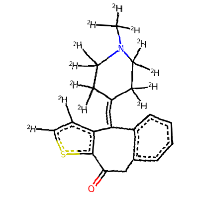 [2H]c1sc2c(c1[2H])C(=C1C([2H])([2H])C([2H])([2H])N(C([2H])([2H])[2H])C([2H])([2H])C1([2H])[2H])c1ccccc1CC2=O